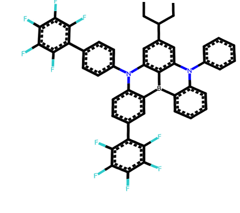 Fc1c(F)c(F)c(-c2ccc(N3c4ccc(-c5c(F)c(F)c(F)c(F)c5F)cc4B4c5ccccc5N(c5ccccc5)c5cc(C6CCCCC6)cc3c54)cc2)c(F)c1F